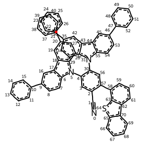 N#Cc1cc(-n2c3ccc(-c4ccccc4)cc3c3cc(-c4ccccc4)ccc32)c(-n2c3ccc(-c4ccccc4)cc3c3cc(-c4ccccc4)ccc32)cc1-c1cccc2c1sc1ccccc12